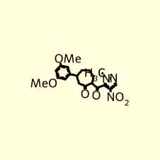 COc1cc(OC)cc(C2CCCC(C(=O)c3c([N+](=O)[O-])cnn3C)C(=O)C2)c1